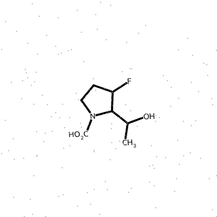 CC(O)C1C(F)CCN1C(=O)O